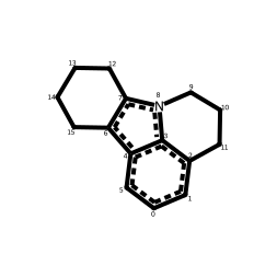 c1cc2c3c(c1)c1c(n3CCC2)CCCC1